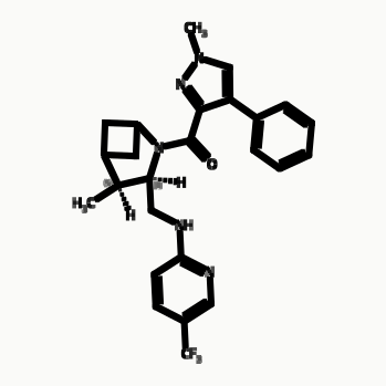 C[C@H]1C2CC(C2)N(C(=O)c2nn(C)cc2-c2ccccc2)[C@H]1CNc1ccc(C(F)(F)F)cn1